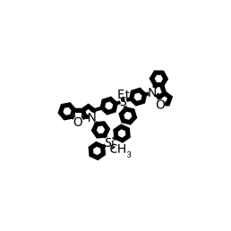 CCS(c1ccccc1)(c1ccc(-c2cc3c4ccccc4oc3n2-c2ccc([Si](C)(c3ccccc3)c3ccccc3)cc2)cc1)c1ccc(-n2c3ccccc3c3ccoc32)cc1